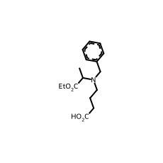 CCOC(=O)C(C)N(CCCC(=O)O)Cc1ccccc1